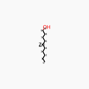 CCCCCCCCCCO.[Zr]